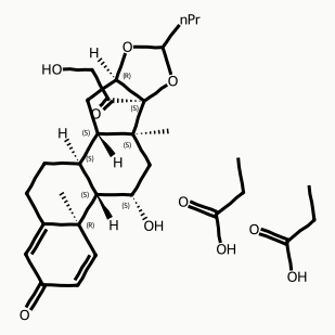 CCC(=O)O.CCC(=O)O.CCCC1O[C@@H]2C[C@H]3[C@@H]4CCC5=CC(=O)C=C[C@]5(C)[C@H]4[C@@H](O)C[C@]3(C)[C@]2(C(=O)CO)O1